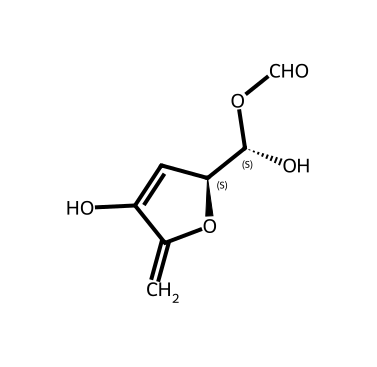 C=C1O[C@H]([C@@H](O)OC=O)C=C1O